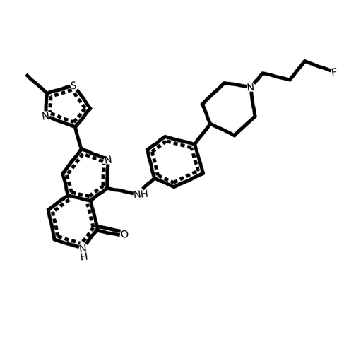 Cc1nc(-c2cc3cc[nH]c(=O)c3c(Nc3ccc(C4CCN(CCCF)CC4)cc3)n2)cs1